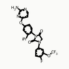 CC(C)c1cc(Oc2ccnc(N)n2)ccc1N1C(=O)CN(c2ccc(F)c(OC(F)(F)F)c2)C1=O